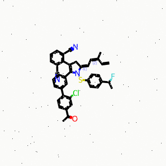 C=C/C(C)=C\C=C1/CC(c2c(C#N)cccc2C#N)=C(c2cccc(-c3ccc(C(C)=O)cc3Cl)c2)N1Sc1ccc(C(C)F)cc1